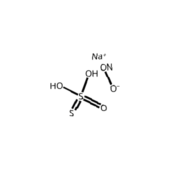 O=N[O-].O=S(O)(O)=S.[Na+]